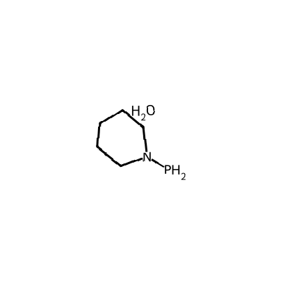 O.PN1CCCCC1